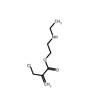 C=C(CCl)C(=O)OCCNCC